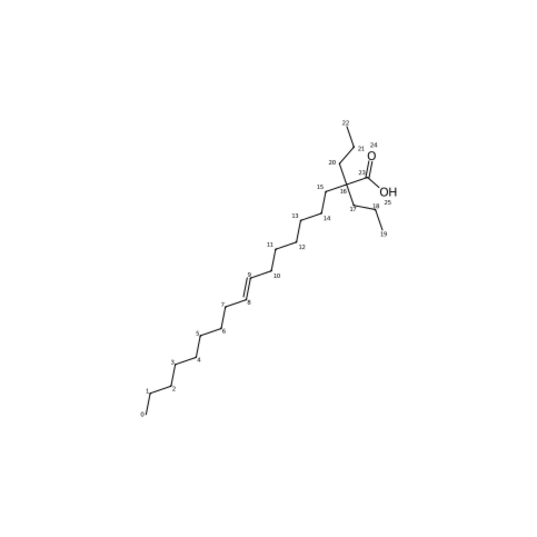 CCCCCCCCC=CCCCCCCC(CCC)(CCC)C(=O)O